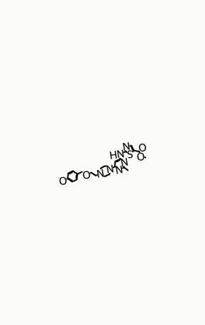 COC(=O)c1cnc(Nc2cc(N3CCN(CCOCc4ccc(OC)cc4)CC3)nc(C)n2)s1